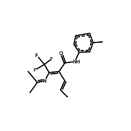 C/C=C/C(C(=O)Nc1cccc(C)c1)=C(\N=C(C)C)C(F)(F)F